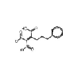 O=C(O)C(CCCc1ccccc1)=C([N+](=O)[O-])[N+](=O)[O-]